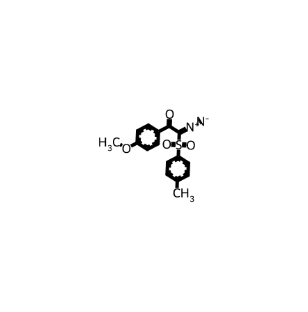 COc1ccc(C(=O)C(=[N+]=[N-])S(=O)(=O)c2ccc(C)cc2)cc1